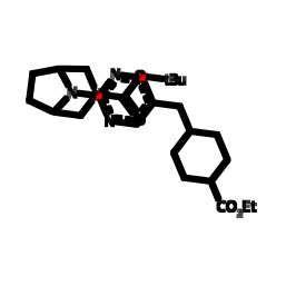 CCOC(=O)C1CCC(Cc2cnc(N3C4CCC3CN(C(=O)OC(C)(C)C)C4)nc2)CC1